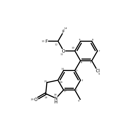 Cc1cc(-c2c(Cl)cccc2OC(F)F)cc2c1NC(=O)C2